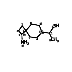 CC(S)N1CCC2(CC[C@H]2N)CC1